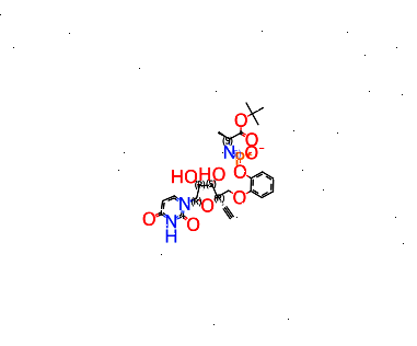 C#C[C@]1(COc2ccccc2O/[P+]([O-])=N/[C@@H](C)C(=O)OC(C)(C)C)O[C@@H](n2ccc(=O)[nH]c2=O)[C@H](O)[C@@H]1O